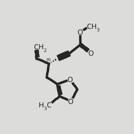 C=C[C@H](C#CC(=O)OC)CC1=C(C)OCO1